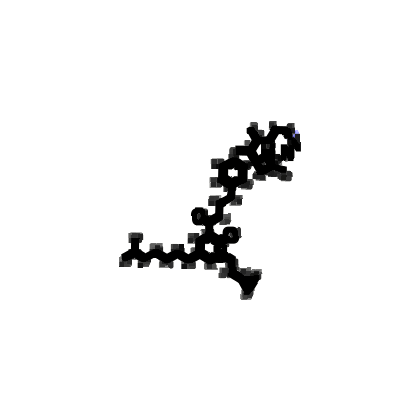 C=C(C(C)CC/C=N\N)[C@]1(c2cccc(CCCC(=O)c3cc(CCCCCC(C)C)cn(CCC4CC4)c3=O)c2)C[C@H](C)C1